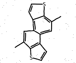 Cc1cc2c3ccsc3c(C)cc2c2ccsc12